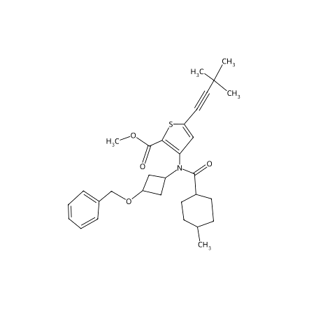 COC(=O)c1sc(C#CC(C)(C)C)cc1N(C(=O)C1CCC(C)CC1)C1CC(OCc2ccccc2)C1